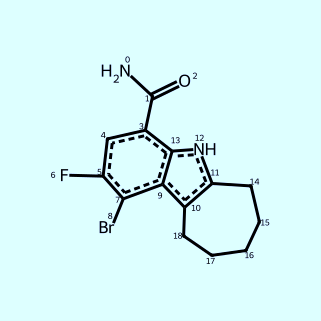 NC(=O)c1cc(F)c(Br)c2c3c([nH]c12)CCCCC3